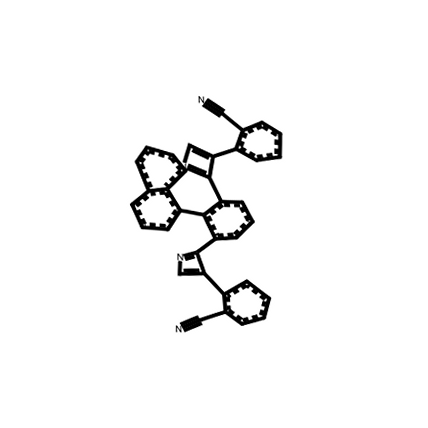 N#Cc1ccccc1C1=CN=C1c1cccc(C2=NC=C2c2ccccc2C#N)c1-c1cccc2ccccc12